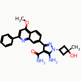 COc1cc(-c2ccccc2)nc2cc(-c3nn([C@H]4C[C@@](C)(O)C4)c(N)c3C(N)=O)ccc12